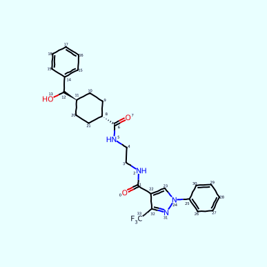 O=C(NCCNC(=O)[C@H]1CC[C@H](C(O)c2ccccc2)CC1)c1cn(-c2ccccc2)nc1C(F)(F)F